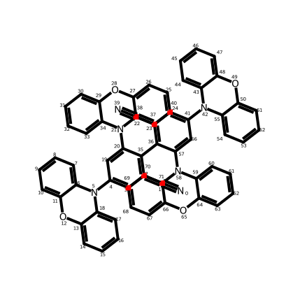 N#Cc1cc(N2c3ccccc3Oc3ccccc32)cc(N2c3ccccc3Oc3ccccc32)c1-c1c(C#N)cc(N2c3ccccc3Oc3ccccc32)cc1N1c2ccccc2Oc2ccccc21